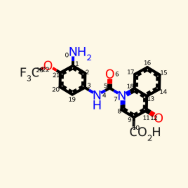 Nc1cc(NC(=O)n2cc(C(=O)O)c(=O)c3ccccc32)ccc1OC(F)(F)F